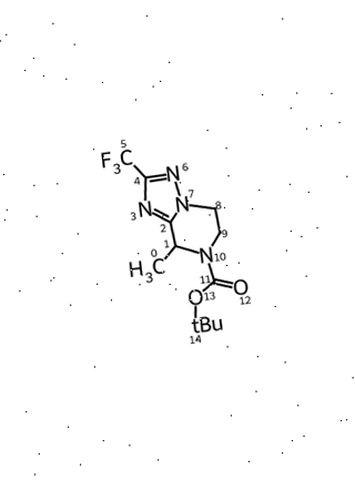 CC1c2nc(C(F)(F)F)nn2CCN1C(=O)OC(C)(C)C